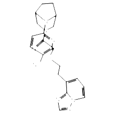 N#Cc1ccc(N2C3CCC2CN(C(=O)COCCc2cccn4ncnc24)C3)nc1